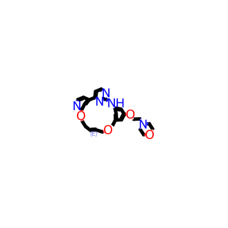 C1=C/COCc2cc(cc(OCCN3CCOCC3)c2)Nc2nccc(n2)-c2ccnc(c2)OCC/1